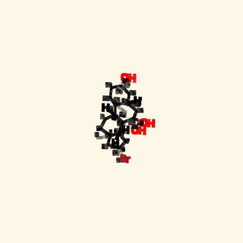 C[C@]12CC[C@H]3[C@H]([C@@H]1C[C@H](Br)C2)C(O)(O)C[C@H]1C[C@@H](O)CC[C@@]13C